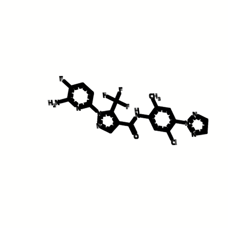 Cc1cc(-n2nccn2)c(Cl)cc1NC(=O)c1cnn(-c2ccc(F)c(N)n2)c1C(F)(F)F